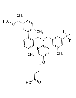 COC(C)c1ccc(C)c(-c2ccc(C)cc2CN(Cc2cc(C)cc(C(F)(F)F)c2)c2ncc(OCCCC(=O)O)cn2)c1